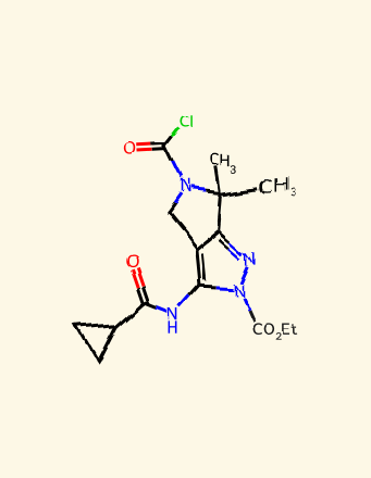 CCOC(=O)n1nc2c(c1NC(=O)C1CC1)CN(C(=O)Cl)C2(C)C